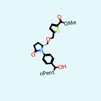 CCCCCC(O)c1ccc(N2C(=O)CC[C@@H]2COCc2ccc(C(=O)OC)s2)cc1